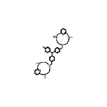 Cc1ccc(C(c2ccc(CN3CCCNCc4cccc(n4)CNCCC3)cc2)c2ccc(CN3CCCNCc4cccc(n4)CNCCC3)cc2)cc1